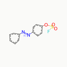 O=S(=O)(F)Oc1ccc(/N=N/c2ccccc2)cc1